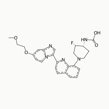 COCCOc1ccn2c(-c3ccc4cccc(N5CC[C@@H](NC(=O)O)[C@@H](F)C5)c4n3)cnc2c1